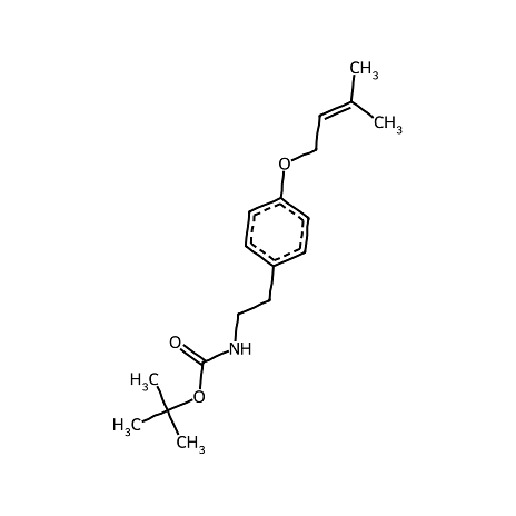 CC(C)=CCOc1ccc(CCNC(=O)OC(C)(C)C)cc1